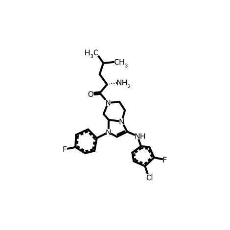 CC(C)C[C@H](N)C(=O)N1CCN2C(Nc3ccc(Cl)c(F)c3)=CN(c3ccc(F)cc3)C2C1